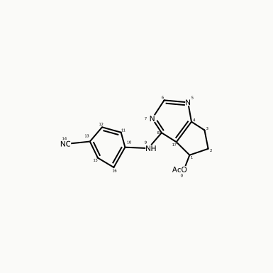 CC(=O)OC1CCc2ncnc(Nc3ccc(C#N)cc3)c21